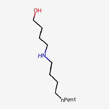 CCCCCCCCCNCCCCO